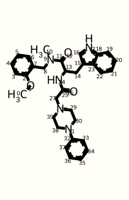 COc1ccccc1CN(C)C(=O)C(Cc1c[nH]c2ccccc12)NC(=O)CN1CCN(c2ccccc2)CC1